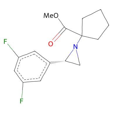 COC(=O)C1(N2C[C@@H]2c2cc(F)cc(F)c2)CCCC1